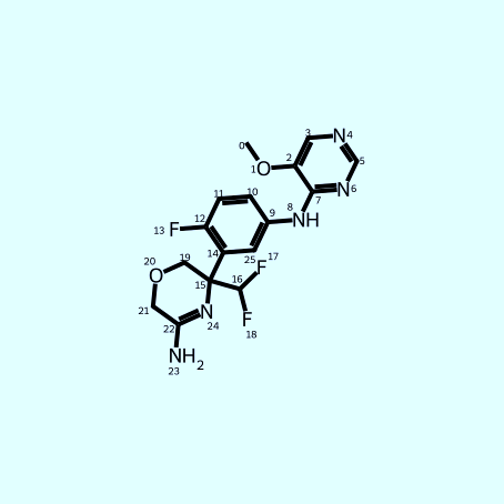 COc1cncnc1Nc1ccc(F)c(C2(C(F)F)COCC(N)=N2)c1